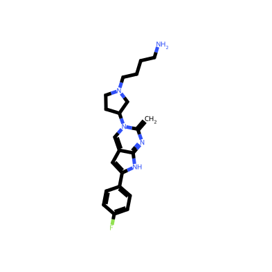 C=C1N=c2[nH]c(-c3ccc(F)cc3)cc2=CN1C1CCN(CCCCN)C1